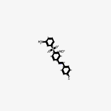 Cl.Nc1cccc(S(=O)(=O)c2ccc(/C=C/c3ccc(F)cc3)cc2)c1